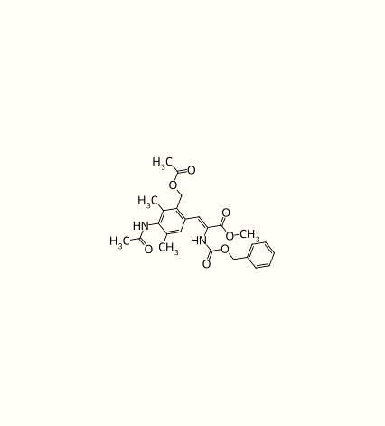 COC(=O)C(=Cc1cc(C)c(NC(C)=O)c(C)c1COC(C)=O)NC(=O)OCc1ccccc1